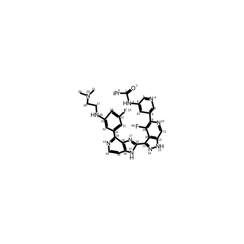 CC(C)C(=O)Nc1cncc(-c2ncc3[nH]nc(-c4nc5c(-c6cc(F)cc(NCCN(C)C)c6)nccc5[nH]4)c3c2F)c1